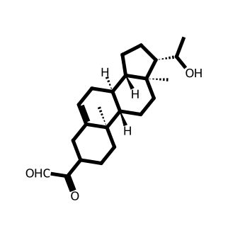 CC(O)[C@H]1CC[C@H]2[C@@H]3CC=C4CC(C(=O)C=O)CC[C@]4(C)[C@H]3CC[C@]12C